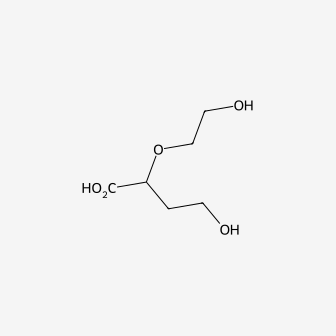 O=C(O)C(CCO)OCCO